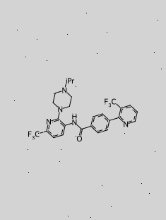 CC(C)N1CCN(c2nc(C(F)(F)F)ccc2NC(=O)c2ccc(-c3ncccc3C(F)(F)F)cc2)CC1